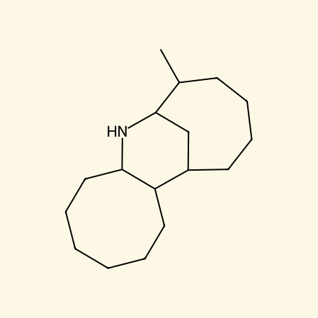 CC1CCCCC2CC1NC1CCCCCCC21